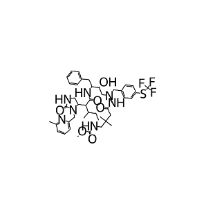 CCC(C)C(C(=O)NC(Cc1ccccc1)C(O)CN(Cc1ccc(SC(F)(F)F)cc1)NC(=O)CC(C)(C)CNC(=O)OC)C1CNC(=O)N1Cc1cccc(C)n1